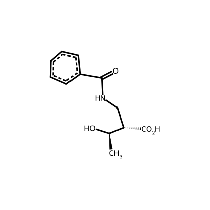 C[C@@H](O)[C@H](CNC(=O)c1ccccc1)C(=O)O